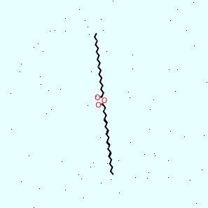 CCCCCC=CCC=CCC=CCC=CCCCC(=O)OC(=O)CCCCCCCCCCCCCCCCC